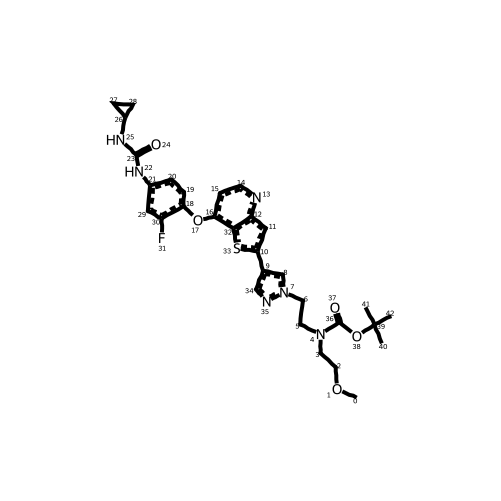 COCCN(CCn1cc(-c2cc3nccc(Oc4ccc(NC(=O)NC5CC5)cc4F)c3s2)cn1)C(=O)OC(C)(C)C